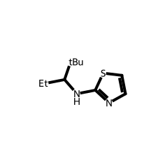 CCC(Nc1nccs1)C(C)(C)C